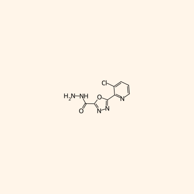 NNC(=O)c1nnc(-c2ncccc2Cl)o1